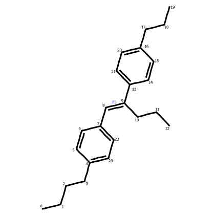 CCCCc1ccc(/C=C(\CCC)c2ccc(CCC)cc2)cc1